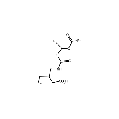 CC(C)CC(CNC(=O)OC(OC(=O)C(C)C)C(C)C)CC(=O)O